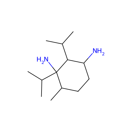 CC(C)C1C(N)CCC(C)C1(N)C(C)C